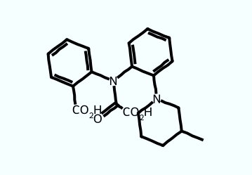 CC1CCCN(c2ccccc2N(C(=O)C(=O)O)c2ccccc2C(=O)O)C1